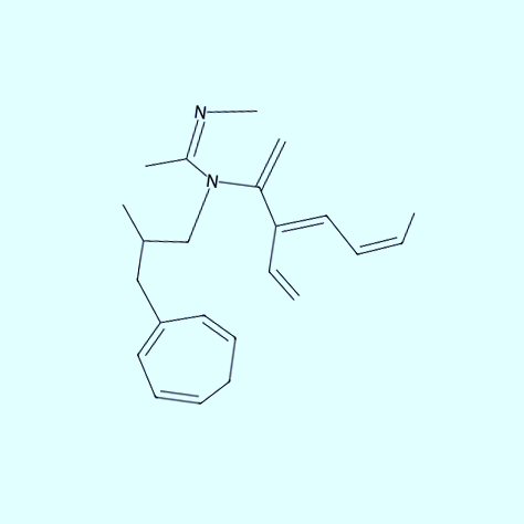 C=C/C(=C\C=C/C)C(=C)N(CC(C)CC1=CC=CCC=C1)/C(C)=N\C